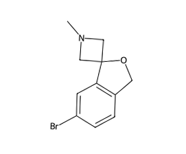 CN1CC2(C1)OCc1ccc(Br)cc12